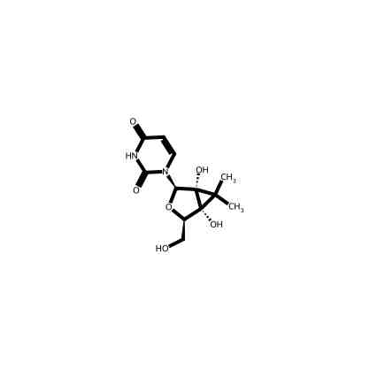 CC1(C)[C@]2(O)[C@H](n3ccc(=O)[nH]c3=O)O[C@H](CO)[C@]12O